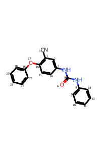 N#Cc1cc(NC(=O)Nc2ccccc2)ccc1Oc1ccccc1